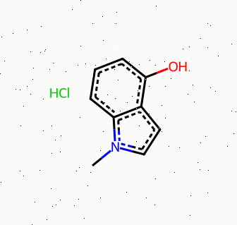 Cl.Cn1ccc2c(O)cccc21